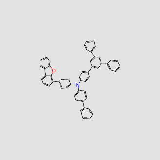 c1ccc(-c2ccc(N(c3ccc(-c4cc(-c5ccccc5)cc(-c5ccccc5)c4)cc3)c3ccc(-c4cccc5c4oc4ccccc45)cc3)cc2)cc1